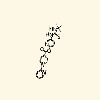 CC(C)(C)NC(=S)Nc1ccc(OC(=O)N2CCN(c3ccccn3)CC2)nc1